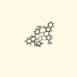 O=c1c2ccccc2nc(-c2ccc(O)cc2)n1CCCCC1(Cn2c(-c3ccc(O)cc3)nc3ccccc3c2=O)CNN=N1